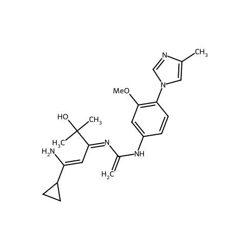 C=C(/N=C(\C=C(/N)C1CC1)C(C)(C)O)Nc1ccc(-n2cnc(C)c2)c(OC)c1